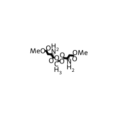 COC(=O)C[C@H](N)C(=O)OC(C)OC(=O)[C@@H](N)CC(=O)OC